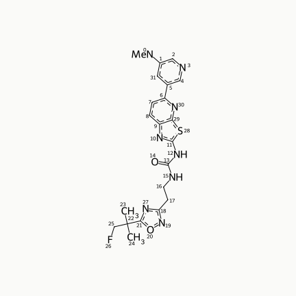 CNc1cncc(-c2ccc3nc(NC(=O)NCCc4noc(C(C)(C)CF)n4)sc3n2)c1